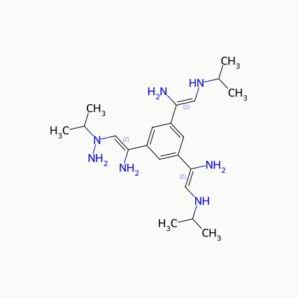 CC(C)N/C=C(\N)c1cc(/C(N)=C/NC(C)C)cc(/C(N)=C/N(N)C(C)C)c1